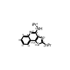 CCCc1nc2c(NC(C)C)nc3ccccc3c2s1